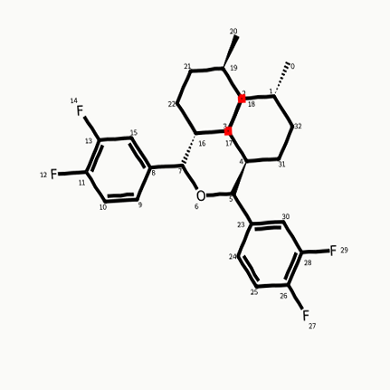 C[C@H]1CC[C@H](C(OC(c2ccc(F)c(F)c2)[C@H]2CC[C@H](C)CC2)c2ccc(F)c(F)c2)CC1